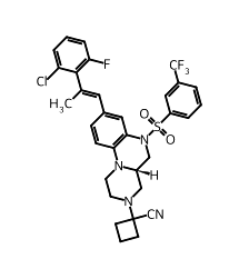 C/C(=C\c1ccc2c(c1)N(S(=O)(=O)c1cccc(C(F)(F)F)c1)C[C@@H]1CN(C3(C#N)CCC3)CCN21)c1c(F)cccc1Cl